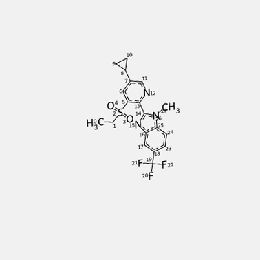 CCS(=O)(=O)c1cc(C2CC2)cnc1-c1nc2cc(C(F)(F)F)ccc2n1C